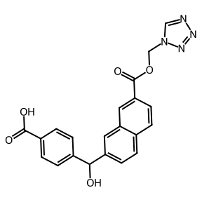 O=C(O)c1ccc(C(O)c2ccc3ccc(C(=O)OCn4cnnn4)cc3c2)cc1